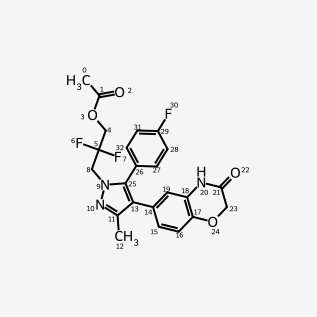 CC(=O)OCC(F)(F)Cn1nc(C)c(-c2ccc3c(c2)NC(=O)CO3)c1-c1ccc(F)cc1